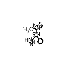 Cc1nc2sccn2c1-c1nc(-c2ccccc2)c(-c2nnc[nH]2)s1